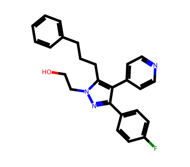 OCCn1nc(-c2ccc(F)cc2)c(-c2ccncc2)c1CCCc1ccccc1